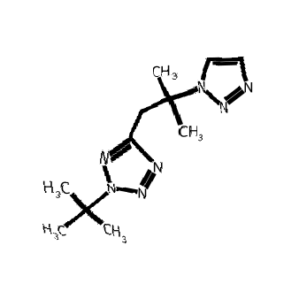 CC(C)(C)n1nnc(CC(C)(C)n2ccnn2)n1